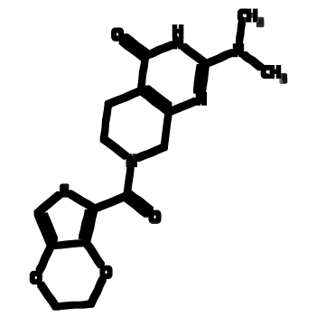 CN(C)c1nc2c(c(=O)[nH]1)CCN(C(=O)c1scc3c1OCCO3)C2